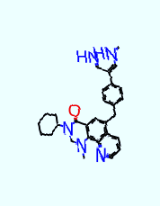 CN/C=C(\C=N)c1ccc(Cc2cc3c(c4ncccc24)N(C)CN(C2CCCCC2)C3=O)cc1